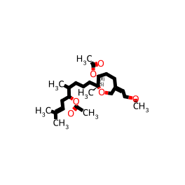 COCC=C1CC[C@@H](OC(C)=O)[C@](C)(CCCC(C)C(CC=C(C)C)OC(C)=O)OC1